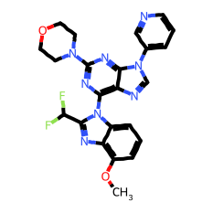 COc1cccc2c1nc(C(F)F)n2-c1nc(N2CCOCC2)nc2c1ncn2-c1cccnc1